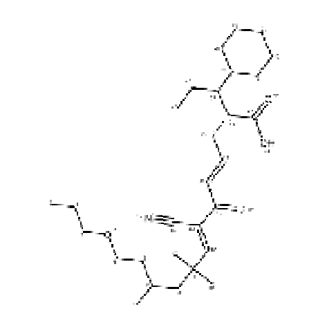 CCCOCCC(C)CC(C)(C)/C=C(\C#N)C(=O)/C=C/C[C@@H](C(=O)O)[C@@H](CC)C1CCCCC1